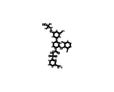 Cc1cccc(C)c1Oc1nc(-c2cc(F)cc(OCC(C)(C)O)c2)ccc1C(=O)NS(=O)(=O)c1cccc(N)n1